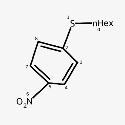 CCCCCCSc1ccc([N+](=O)[O-])cc1